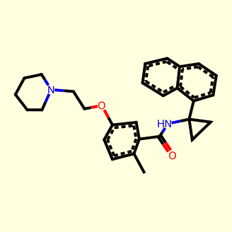 Cc1ccc(OCCN2CCCCC2)cc1C(=O)NC1(c2cccc3ccccc23)CC1